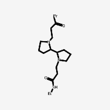 CCNC(=O)CCN1CCCC1C1CCCN1CCC(=O)C(C)C